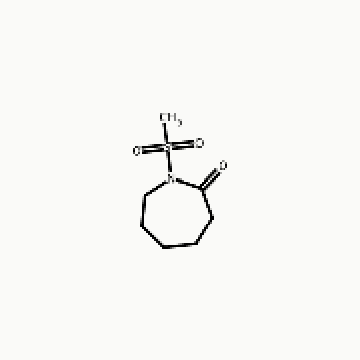 CS(=O)(=O)N1CCCCCC1=O